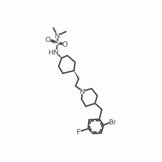 CN(C)S(=O)(=O)N[C@H]1CC[C@@H](CCN2CCC(Cc3cc(F)ccc3Br)CC2)CC1